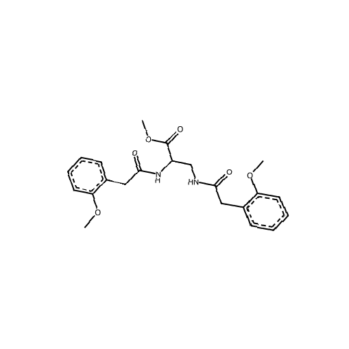 COC(=O)C(CNC(=O)Cc1ccccc1OC)NC(=O)Cc1ccccc1OC